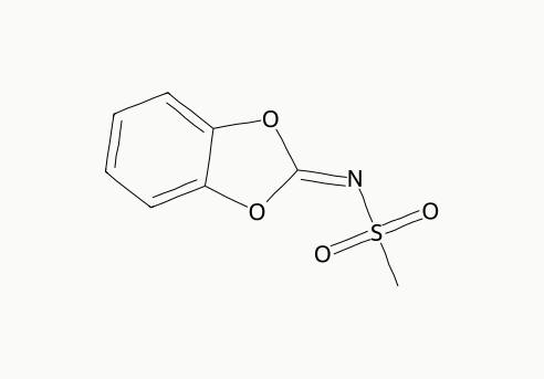 CS(=O)(=O)N=c1oc2ccccc2o1